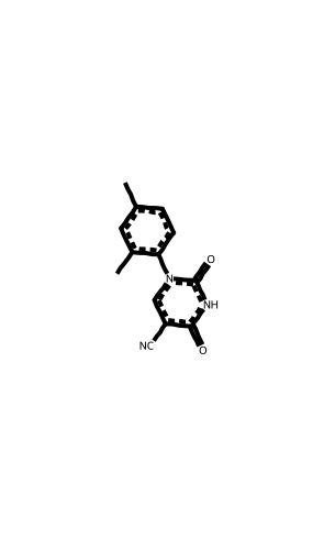 Cc1ccc(-n2cc(C#N)c(=O)[nH]c2=O)c(C)c1